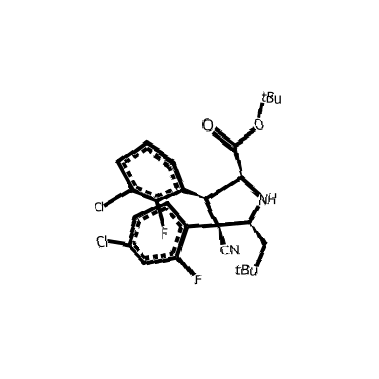 CC(C)(C)C[C@@H]1N[C@H](C(=O)OC(C)(C)C)[C@H](c2cccc(Cl)c2F)[C@@]1(C#N)c1ccc(Cl)cc1F